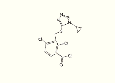 O=C(Cl)c1ccc(Cl)c(CSc2nnnn2C2CC2)c1Cl